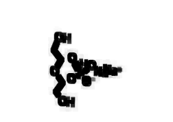 O=P([O-])([O-])O.OCCOCCO.[Na+].[Na+]